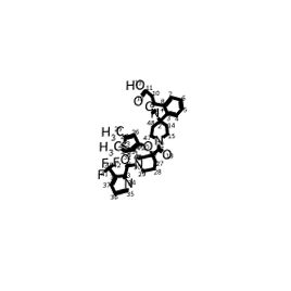 [C-]#[N+]C1(c2ccccc2CCC(=O)O)CCN(C(=O)[C@]2(Oc3csc(C)c3)CCCN(C(=O)c3ncccc3C(F)(F)F)[C@@H]2CCC)CC1